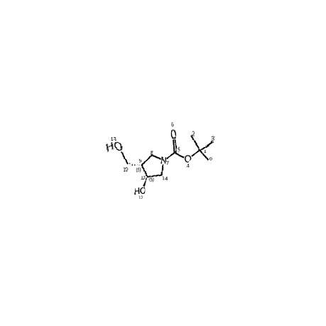 CC(C)(C)OC(=O)N1C[C@@H](CO)[C@H](O)C1